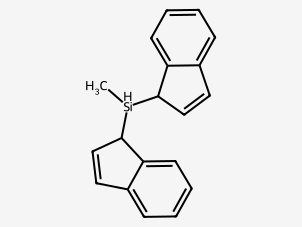 C[SiH](C1C=Cc2ccccc21)C1C=Cc2ccccc21